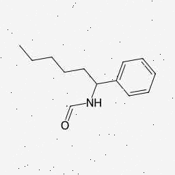 CCCCCC(N[C]=O)c1ccccc1